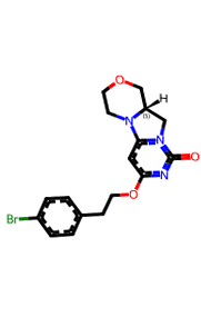 O=c1nc(OCCc2ccc(Br)cc2)cc2n1C[C@H]1COCCN21